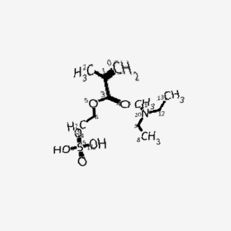 C=C(C)C(=O)OCC.CCN(C)CC.O=S(=O)(O)O